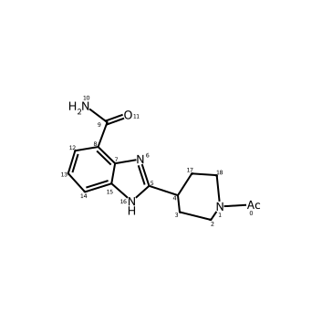 CC(=O)N1CCC(c2nc3c(C(N)=O)cccc3[nH]2)CC1